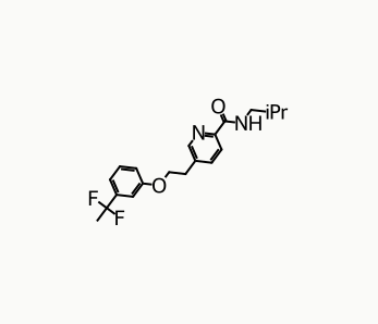 CC(C)CNC(=O)c1ccc(CCOc2cccc(C(C)(F)F)c2)cn1